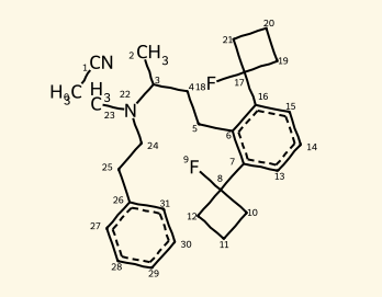 CC#N.CC(CCc1c(C2(F)CCC2)cccc1C1(F)CCC1)N(C)CCc1ccccc1